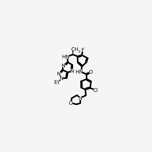 CCn1cc2ncc(N[C@@H](C)c3cc(NC(=O)c4ccc(CN5CCOCC5)c(Cl)c4)ccc3F)nc2n1